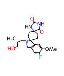 COc1cc2c(cc1F)CN(C[C@@H](C)CO)C21CCC2(CC1)NC(=O)NC2=O